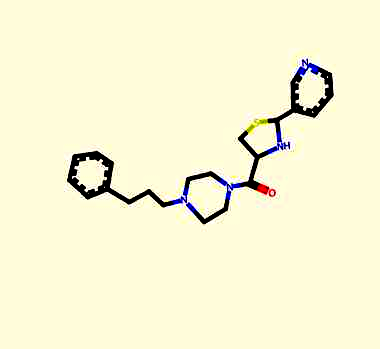 O=C(C1CSC(c2cccnc2)N1)N1CCN(CCCc2ccccc2)CC1